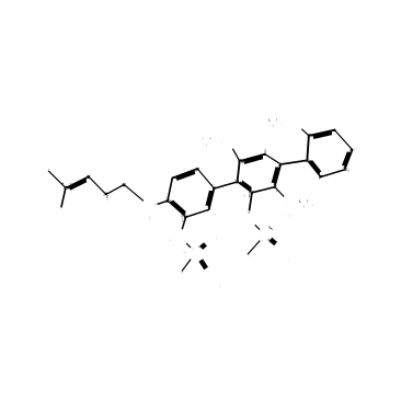 COc1ccccc1-c1cc(OC)c(-c2ccc(OCCC=C(C)C)c(OS(C)(=O)=O)c2)c(OS(C)(=O)=O)c1OC